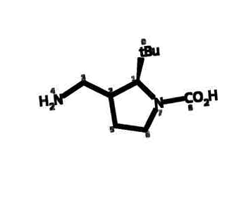 CC(C)(C)[C@@H]1C(CN)CCN1C(=O)O